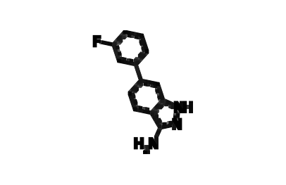 Nc1n[nH]c2cc(-c3cccc(F)c3)ccc12